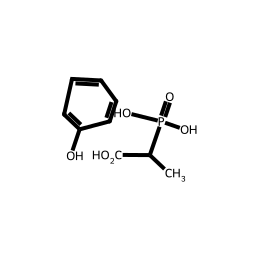 CC(C(=O)O)P(=O)(O)O.Oc1ccccc1